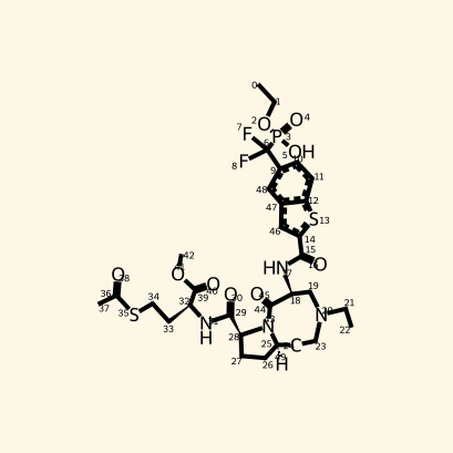 CCOP(=O)(O)C(F)(F)c1ccc2sc(C(=O)N[C@H]3CN(CC)CC[C@H]4CC[C@@H](C(=O)N[C@@H](CCSC(C)=O)C(=O)OC)N4C3=O)cc2c1